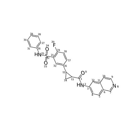 O=C(Nc1ccc2cnccc2c1)C1CC1c1ccc(F)c(S(=O)(=O)Nc2ccccc2)c1